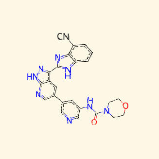 [C-]#[N+]c1cccc2[nH]c(-c3n[nH]c4ncc(-c5cncc(NC(=O)N6CCOCC6)c5)cc34)nc12